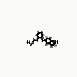 [CH2]CCc1ccccc1Cc1ccc2[nH]ccc2c1